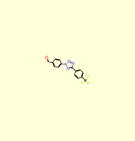 O=Cc1ccc(-n2nnc(-c3ccc(C(F)(F)F)cc3)n2)cc1